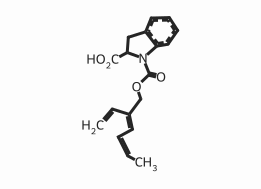 C=C/C(=C\C=C/C)COC(=O)N1c2ccccc2CC1C(=O)O